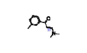 Cc1cccc(C(=O)/C=C/N(C)C)c1